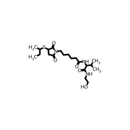 CCC(C)SC1CC(=O)N(CCCCCC(=O)NC(C(=O)NCCO)C(C)C)C1=O